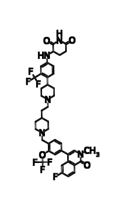 Cn1cc(-c2ccc(CN3CCC(CCN4CCC(c5ccc(NC6CCC(=O)NC6=O)cc5C(F)(F)F)CC4)CC3)c(OC(F)(F)F)c2)c2cc(F)ccc2c1=O